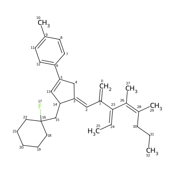 C=C(/C=C1\CC(c2ccc(C)cc2)=CC1CC1(F)CCCCC1)C(=C\C)/C(C)=C(/C)CCC